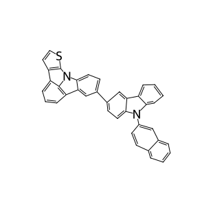 c1ccc2cc(-n3c4ccccc4c4cc(-c5ccc6c(c5)c5cccc7c8ccsc8n6c57)ccc43)ccc2c1